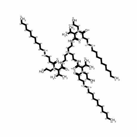 CCCCCCCCCCSSCCC(=O)N(CCO)C(C(=O)NCCN(CCNC(=O)C(C(C)C)N(CCO)C(=O)CCSSCCCCCCCCCC)CCNC(=O)C(C(C)C)N(CCO)C(=O)CCSSCCCCCCCCCC)C(C)C